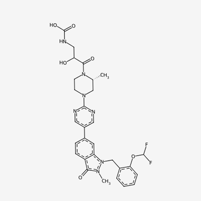 C[C@@H]1CN(c2ncc(-c3ccc4c(=O)n(C)n(Cc5ccccc5OC(F)F)c4c3)cn2)CCN1C(=O)C(O)CNC(=O)O